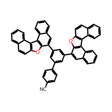 N#Cc1ccc(-c2cc(-c3cc4ccccc4c4c3oc3ccc5ccccc5c34)cc(-c3cc4ccccc4c4c3oc3ccc5ccccc5c34)c2)cc1